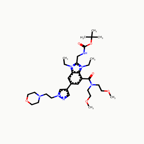 CCn1c(CNC(=O)OC(C)(C)C)[n+](CC)c2cc(-c3cnn(CCN4CCOCC4)c3)cc(C(=O)N(CCOC)CCOC)c21